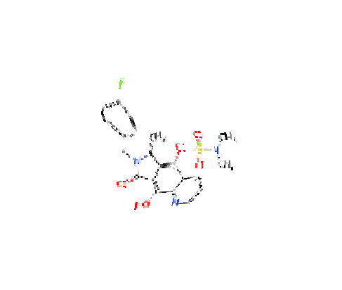 C=C1c2c(c(O)c3ncccc3c2OS(=O)(=O)N(C)C)C(=O)N1Cc1ccc(F)cc1